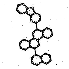 c1ccc2c(-c3cc4c5ccccc5c(-c5ccc6sc7ccccc7c6c5)cc4c4ccccc34)cccc2c1